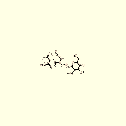 C=C(C)[C@H](NC(=O)[C@H](CSSC1OC(CO)C(O)C(O)C1NC(C)=O)N=C=O)C(=O)OC